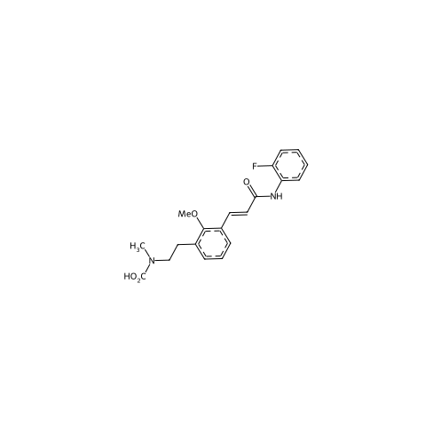 COc1c(C=CC(=O)Nc2ccccc2F)cccc1CCN(C)C(=O)O